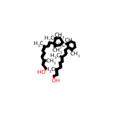 CC1=C(/C=C/C(C)=C/C=C/C(C)=C/CO)C(C)(C)CCC1.CC1=C(/C=C/C(C)=C\C=C\C(C)=C\CO)C(C)(C)CCC1